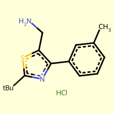 Cc1cccc(-c2nc(C(C)(C)C)sc2CN)c1.Cl